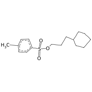 Cc1ccc(S(=O)(=O)OCCCC2CCCCC2)cc1